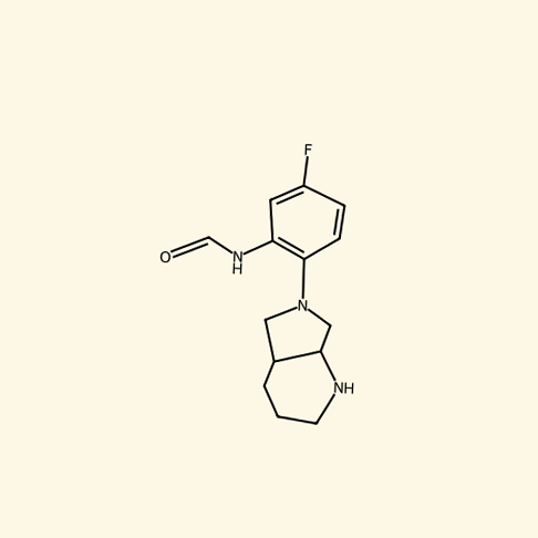 O=CNc1cc(F)ccc1N1CC2CCCNC2C1